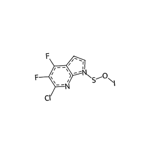 Fc1c(Cl)nc2c(ccn2SOI)c1F